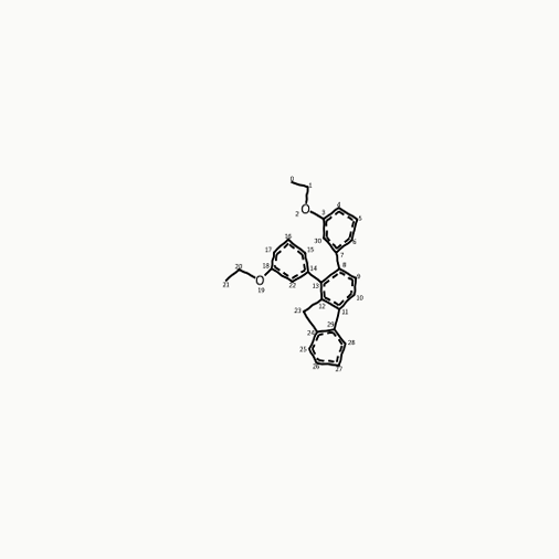 CCOc1cccc(-c2ccc3c(c2-c2cccc(OCC)c2)Cc2ccccc2-3)c1